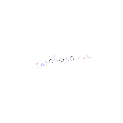 CC(C)(C)OC(=O)NCc1ccc(NC(=O)c2ccc(C(=O)Nc3ccc(C4=CCN(C(=O)OC(C)(C)C)CC4)cc3)cc2)cc1